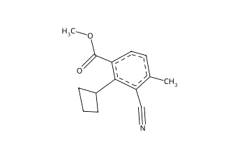 COC(=O)c1ccc(C)c(C#N)c1C1CCC1